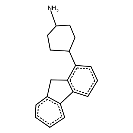 NC1CCC(c2cccc3c2Cc2ccccc2-3)CC1